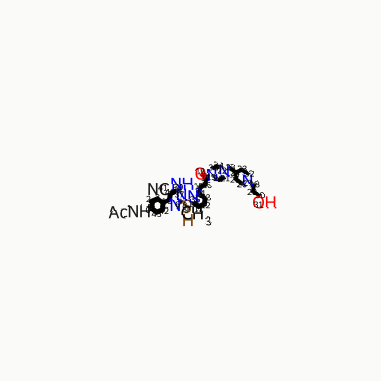 CC(=O)Nc1ccc(-c2nc([SH](C)c3cccc(CCC(=O)N4CCN(CC5CCN(CCCO)CC5)CC4)n3)nc(N)c2C#N)cc1